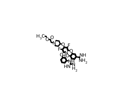 CCOC(=O)CN1CCC(Oc2c(F)c(Oc3cccc(NC(=N)N)c3)nc(Oc3cc(C(=N)N)ccc3O)c2F)CC1